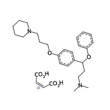 CN(C)CCC(Oc1ccccc1)c1ccc(OCCCN2CCCCC2)cc1.O=C(O)/C=C\C(=O)O